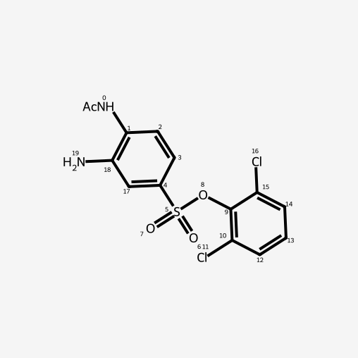 CC(=O)Nc1ccc(S(=O)(=O)Oc2c(Cl)cccc2Cl)cc1N